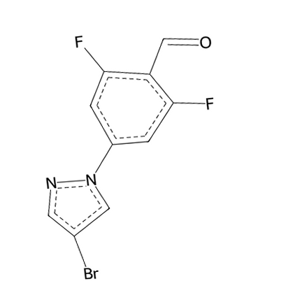 O=Cc1c(F)cc(-n2cc(Br)cn2)cc1F